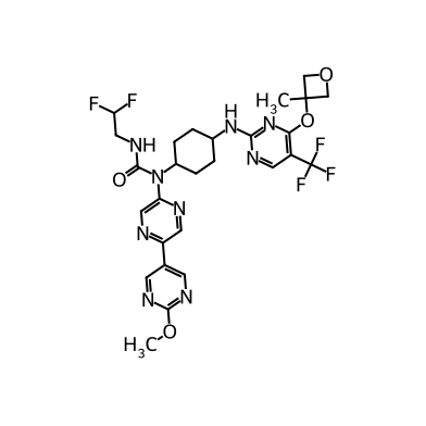 COc1ncc(-c2cnc(N(C(=O)NCC(F)F)C3CCC(Nc4ncc(C(F)(F)F)c(OC5(C)COC5)n4)CC3)cn2)cn1